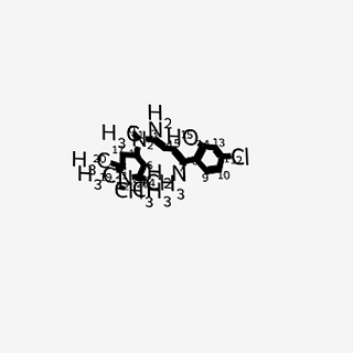 CN(/C(N)=C/C=C(\N)c1ccc(Cl)cc1O)C1CC(C)(C)N(C)C(C)(C)C1